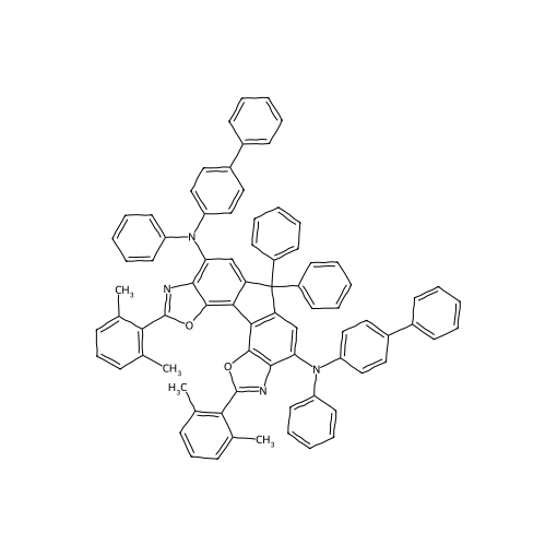 Cc1cccc(C)c1-c1nc2c(N(c3ccccc3)c3ccc(-c4ccccc4)cc3)cc3c(c2o1)-c1c(cc(N(c2ccccc2)c2ccc(-c4ccccc4)cc2)c2nc(-c4c(C)cccc4C)oc12)C3(c1ccccc1)c1ccccc1